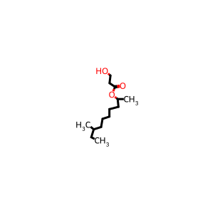 CCC(C)CCCCCC(C)OC(=O)CCO